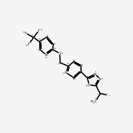 CC(F)c1nnc(-c2ccc(COc3ccc(C(F)(F)F)cn3)nc2)o1